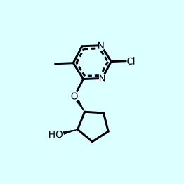 Cc1cnc(Cl)nc1O[C@H]1CCC[C@H]1O